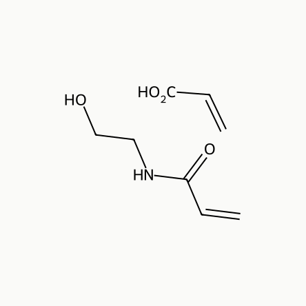 C=CC(=O)NCCO.C=CC(=O)O